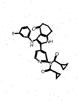 O=C1CCCc2[nH]c(-c3ccnc(N(C(=O)C4CC4)C(=O)C4CC4)c3)c(Nc3cccc(F)c3)c21